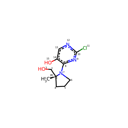 C[C@]1(CO)CCCN1c1nc(Cl)ncc1O